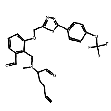 C=CCCC(C=O)N(C)Cc1c(C=O)cccc1OCc1nnc(-c2ccc(OC(F)(F)F)cc2)s1